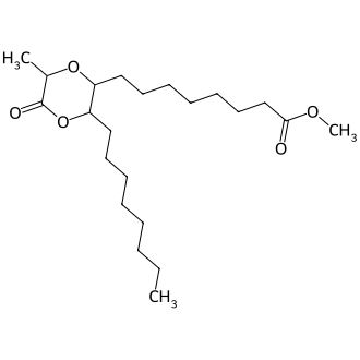 CCCCCCCCC1OC(=O)C(C)OC1CCCCCCCC(=O)OC